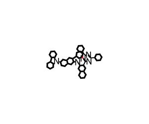 c1ccc(-c2nc(-c3ccccc3)nc(-c3cc4ccccc4cc3-n3c4ccccc4c4cc5cc(-n6c7ccccc7c7ccccc76)ccc5cc43)n2)cc1